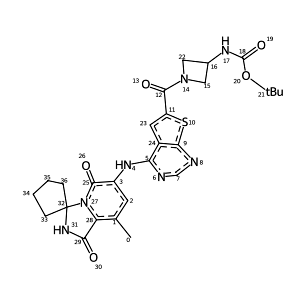 Cc1cc(Nc2ncnc3sc(C(=O)N4CC(NC(=O)OC(C)(C)C)C4)cc23)c(=O)n2c1C(=O)NC21CCCC1